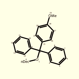 CCCCCCCCCCOC(c1ccccc1)(c1ccccc1)c1ccc(OC)cc1